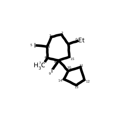 CCC1CCC(I)C(C)C(I)(C2CCCC2)C1